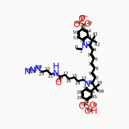 CCN1\C(=C/C=C/C=C/C=C/C2=[N+](CCCCCC(=O)NCCCN=[N+]=[N-])c3ccc(S(=O)(=O)O)cc3C2(C)C)C(C)(C)c2cc(S(=O)(=O)[O-])ccc21